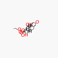 CCCOC(=O)O[C@]1(C(=O)O)CC[C@H]2[C@@H]3CCC4=CC(=O)C=C[C@]4(C)[C@H]3[C@@H](O)C[C@@]21C